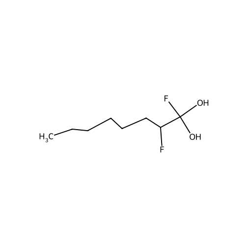 CCCCCCC(F)C(O)(O)F